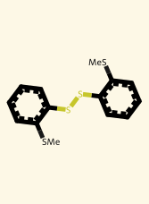 CSc1ccccc1SSc1ccccc1SC